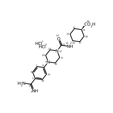 Cl.Cl.N=C(N)c1ccc(N2CCN(C(=O)N[C@H]3CC[C@H](C(=O)O)CC3)CC2)cc1